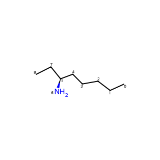 CCCCC[C@@H](N)CC